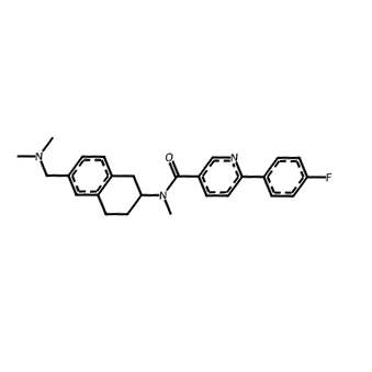 CN(C)Cc1ccc2c(c1)CCC(N(C)C(=O)c1ccc(-c3ccc(F)cc3)nc1)C2